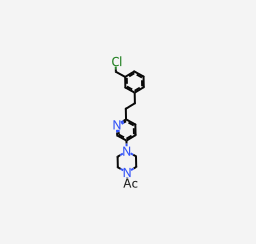 CC(=O)N1CCN(c2ccc(CCc3cccc(CCl)c3)nc2)CC1